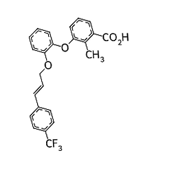 Cc1c(Oc2ccccc2OCC=Cc2ccc(C(F)(F)F)cc2)cccc1C(=O)O